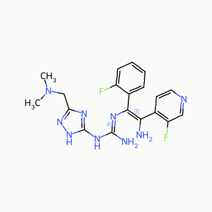 CN(C)Cc1n[nH]c(N/C(N)=N/C(=C(\N)c2ccncc2F)c2ccccc2F)n1